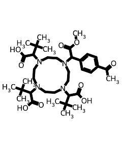 COC(=O)C(c1ccc(C(C)=O)cc1)N1CCN(C(C(=O)O)C(C)(C)C)CCN(C(C(=O)O)C(C)(C)C)CCN(C(C(=O)O)C(C)(C)C)CC1